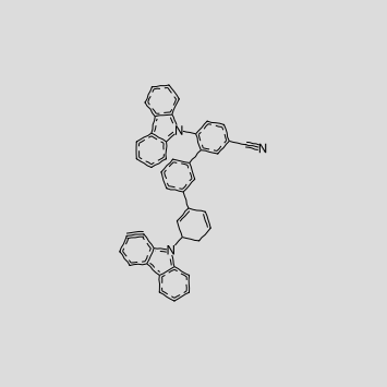 N#Cc1ccc(-n2c3ccccc3c3ccccc32)c(-c2cccc(C3=CC(n4c5c#cccc5c5ccccc54)CC=C3)c2)c1